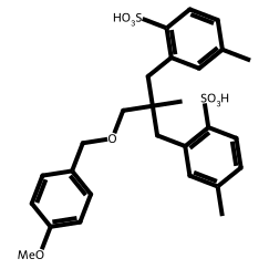 COc1ccc(COCC(C)(Cc2cc(C)ccc2S(=O)(=O)O)Cc2cc(C)ccc2S(=O)(=O)O)cc1